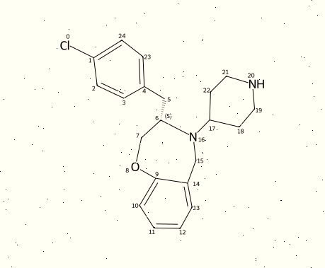 Clc1ccc(C[C@H]2COc3ccccc3CN2C2CCNCC2)cc1